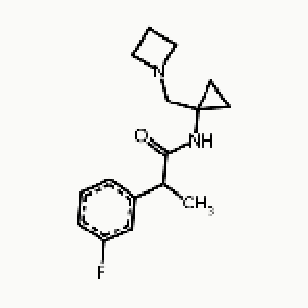 CC(C(=O)NC1(CN2CCC2)CC1)c1cccc(F)c1